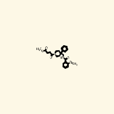 COC(=O)CCC(=O)N1CCC(CNC(=O)c2ccccc2OC)(c2ccccc2)CC1